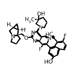 C#Cc1c(F)ccc2cc(O)cc(-c3ncc4c(N5CCC[C@@](C)(O)C5)nc(OC[C@@]56CCCN5C[C@H]5C[C@H]56)nc4c3F)c12